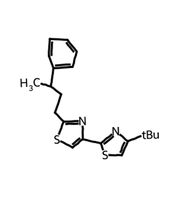 CC(CCc1nc(-c2nc(C(C)(C)C)cs2)cs1)c1ccccc1